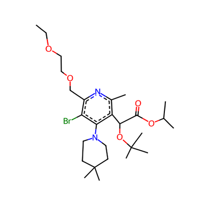 CCOCCOCc1nc(C)c(C(OC(C)(C)C)C(=O)OC(C)C)c(N2CCC(C)(C)CC2)c1Br